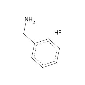 F.NCc1ccccc1